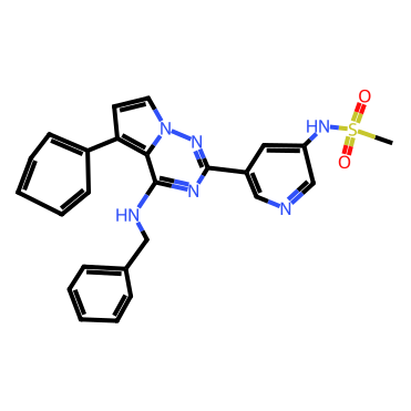 CS(=O)(=O)Nc1cncc(-c2nc(NCc3ccccc3)c3c(-c4ccccc4)ccn3n2)c1